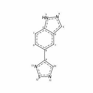 c1cc2[nH]ncc2cc1-c1cnsn1